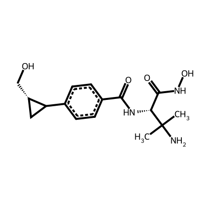 CC(C)(N)[C@H](NC(=O)c1ccc(C2C[C@@H]2CO)cc1)C(=O)NO